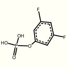 O=P(O)(O)Oc1cc(F)cc(F)c1